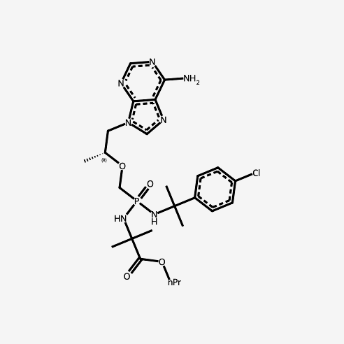 CCCOC(=O)C(C)(C)NP(=O)(CO[C@H](C)Cn1cnc2c(N)ncnc21)NC(C)(C)c1ccc(Cl)cc1